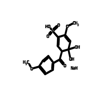 COC1=CC(O)(O)C(C(=O)c2ccc(OC)cc2)C=C1S(=O)(=O)O.[NaH]